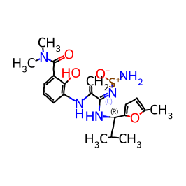 C=C(Nc1cccc(C(=O)N(C)C)c1O)/C(=N\[S+](N)[O-])N[C@@H](c1ccc(C)o1)C(C)C